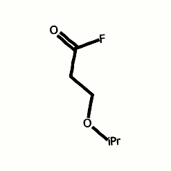 CC(C)OCCC(=O)F